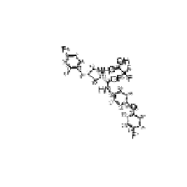 Cc1cc(F)ccc1C[C@H]1CN[C@H](C(=O)Nc2ccc(Oc3ccc(F)cc3)cc2)C1.O=C(O)C(F)(F)F